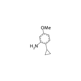 COc1ccc(C2CC2)c(N)c1